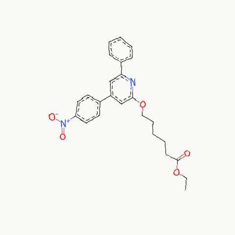 CCOC(=O)CCCCCOc1cc(-c2ccc([N+](=O)[O-])cc2)cc(-c2ccccc2)n1